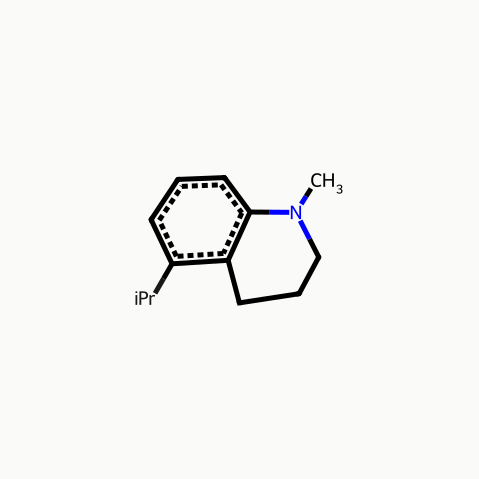 CC(C)c1cccc2c1CCCN2C